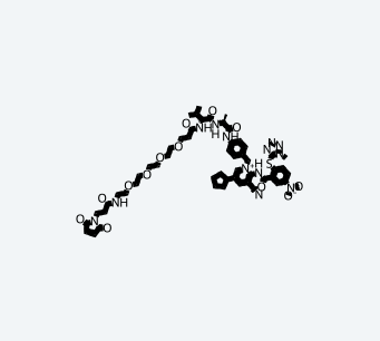 CC(C)[C@H](NC(=O)CCOCCOCCOCCOCCNC(=O)CCN1C(=O)C=CC1=O)C(=O)N[C@@H](C)C(=O)Nc1ccc(C[n+]2cc(C3CCCC3)cc(C#N)c2NC(=O)c2cc([N+](=O)[O-])ccc2Sc2nnnn2C)cc1